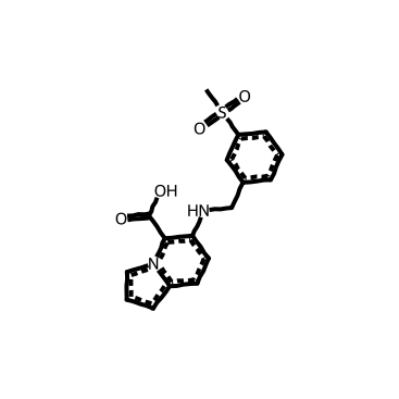 CS(=O)(=O)c1cccc(CNc2ccc3cccn3c2C(=O)O)c1